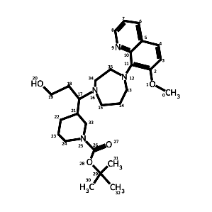 COc1ccc2cccnc2c1N1CCCN(C(CCO)C2CCCN(C(=O)OC(C)(C)C)C2)CC1